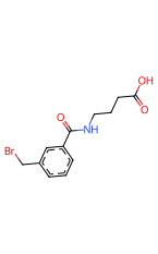 O=C(O)CCCNC(=O)c1cccc(CBr)c1